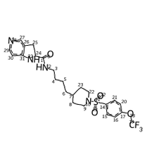 O=C(NCCCCC1CCN(S(=O)(=O)c2ccc(OC(F)(F)F)cc2)CC1)C1Cc2cnccc2N1